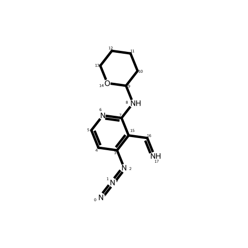 [N-]=[N+]=Nc1ccnc(NC2CCCCO2)c1C=N